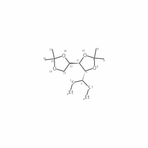 CCSC(SCC)[C@H]1OC(C)(C)O[C@@H]1C1COC(C)(C)O1